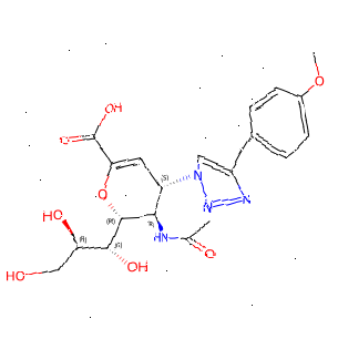 COc1ccc(-c2cn([C@H]3C=C(C(=O)O)O[C@@H]([C@H](O)[C@H](O)CO)[C@@H]3NC(C)=O)nn2)cc1